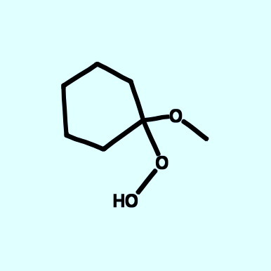 COC1(OO)CCCCC1